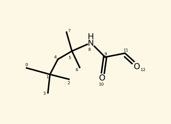 CC(C)(C)CC(C)(C)NC(=O)C=O